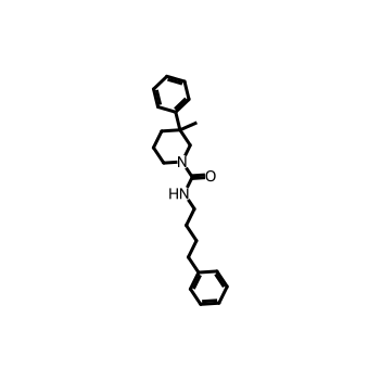 CC1(c2ccccc2)CCCN(C(=O)NCCCCc2ccccc2)C1